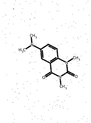 CN(C)c1ccc2c(c1)c(=O)n(C)c(=O)n2C